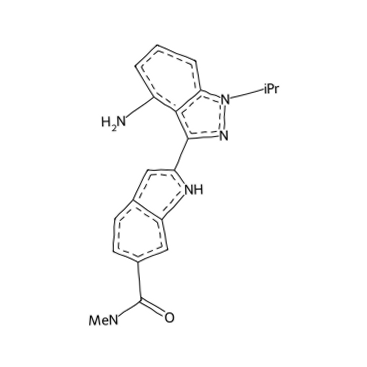 CNC(=O)c1ccc2cc(-c3nn(C(C)C)c4cccc(N)c34)[nH]c2c1